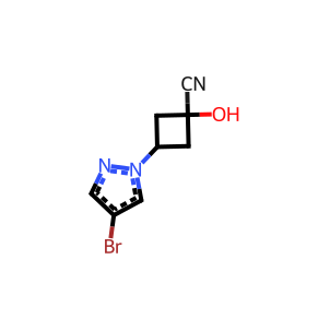 N#CC1(O)CC(n2cc(Br)cn2)C1